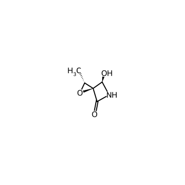 C[C@H]1O[C@@]12C(=O)N[C@@H]2O